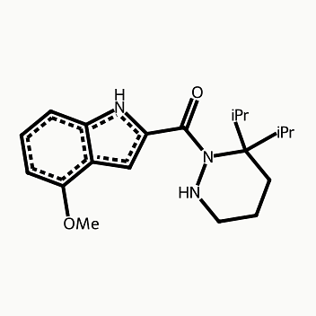 COc1cccc2[nH]c(C(=O)N3NCCCC3(C(C)C)C(C)C)cc12